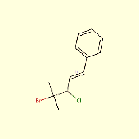 CC(C)(Br)C(Cl)/C=C/c1ccccc1